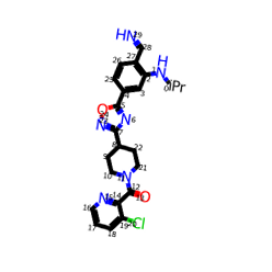 CC(C)Nc1cc(-c2nc(C3CCN(C(=O)c4ncccc4Cl)CC3)no2)ccc1C=N